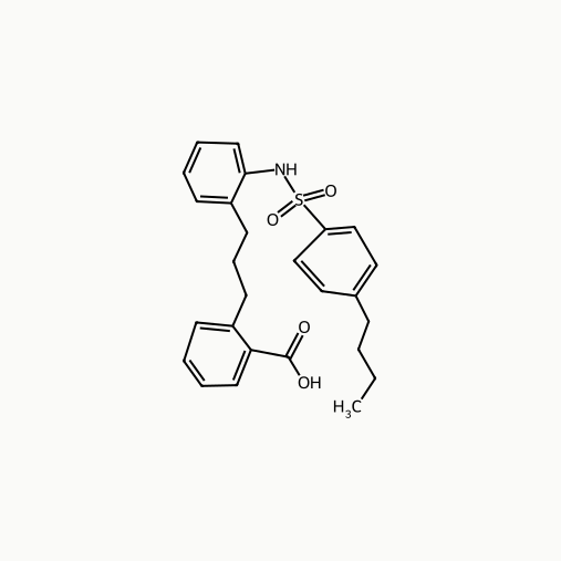 CCCCc1ccc(S(=O)(=O)Nc2ccccc2CCCc2ccccc2C(=O)O)cc1